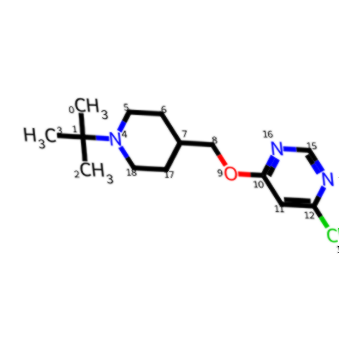 CC(C)(C)N1CCC(COc2cc(Cl)ncn2)CC1